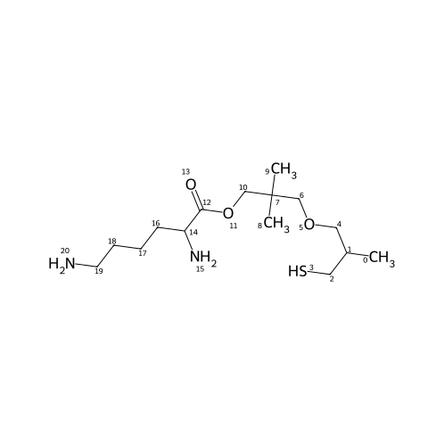 CC(CS)COCC(C)(C)COC(=O)C(N)CCCCN